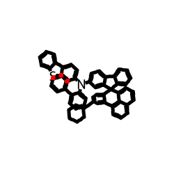 c1ccc(-c2ccccc2N(c2ccc3c(c2)C2(c4ccccc4-3)c3ccc(C4CCCCC4)cc3-c3cccc4cccc2c34)c2ccc3c(c2)sc2ccccc23)cc1